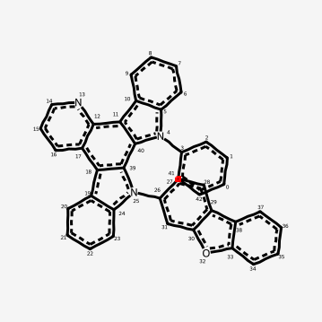 c1ccc(-n2c3ccccc3c3c4ncccc4c4c5ccccc5n(-c5ccc6c(c5)oc5ccccc56)c4c32)cc1